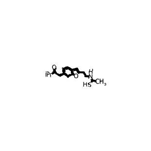 CC(S)NCCc1cc2ccc(CC(=O)C(C)C)cc2o1